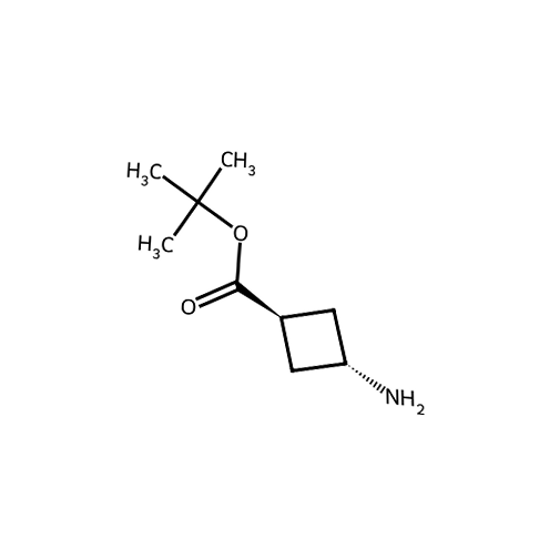 CC(C)(C)OC(=O)[C@H]1C[C@H](N)C1